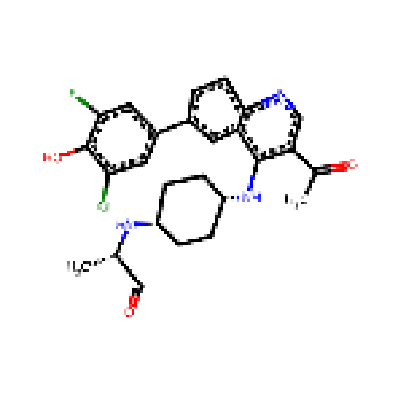 CC(=O)c1cnc2ccc(-c3cc(F)c(O)c(Cl)c3)cc2c1N[C@H]1CC[C@H](N[C@@H](C)C=O)CC1